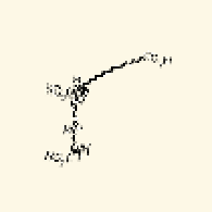 O=C(O)CCCCCCCCCCCCCCCCC(=O)N[C@H](C(=O)O)C(=O)OCCOCC(=O)NCCCC[C@H](NI)C(=O)O